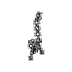 CCN(C)S(=O)(=O)N(COCC[Si](C)(C)C)c1ccc(F)c(C(=O)c2cn(COCC[Si](C)(C)C)c3ncc(-c4ccc(N5CCN(C6CCN(CC(=O)OC(C)(C)C)CC6)CC5)cc4)cc23)c1F